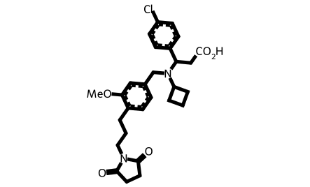 COc1cc(CN(C2CCC2)C(CC(=O)O)c2ccc(Cl)cc2)ccc1CCCN1C(=O)CCC1=O